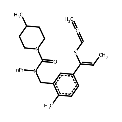 C=C=CS/C(=C\C)c1ccc(C)c(CN(CCC)C(=O)N2CCC(C)CC2)c1